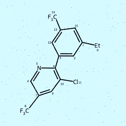 CCc1cc(-c2ncc(C(F)(F)F)cc2Cl)cc(C(F)(F)F)c1